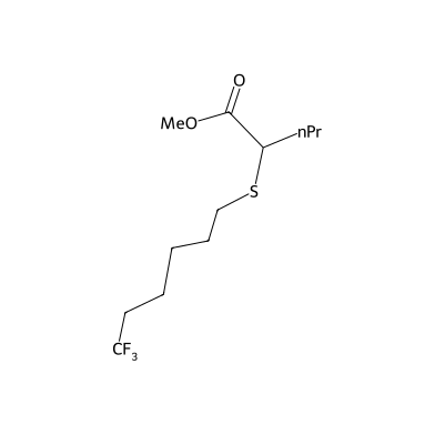 CCCC(SCCCCCC(F)(F)F)C(=O)OC